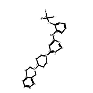 FC(F)(F)Oc1ccccc1Nc1cc(N2CCC(N3CCc4ccccc4C3)CC2)ncn1